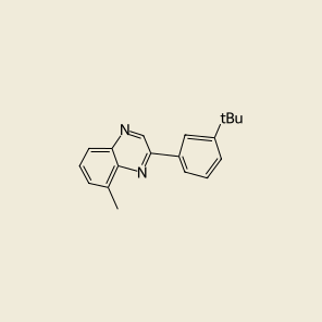 Cc1cccc2ncc(-c3cccc(C(C)(C)C)c3)nc12